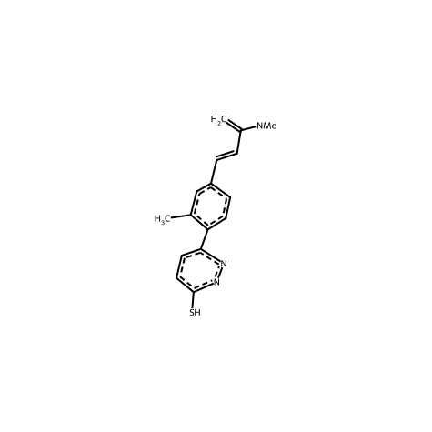 C=C(/C=C/c1ccc(-c2ccc(S)nn2)c(C)c1)NC